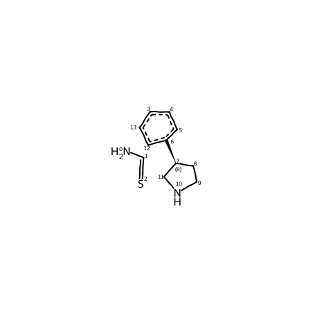 NC=S.c1ccc([C@H]2CCNC2)cc1